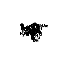 CC(=O)N[C@H](Cc1ccc2ccccc2c1)ONC(C(=O)NCC(=O)NCC(=O)N(C)[C@@H](Cc1ccc(O)cc1)C(=O)N[C@H](CC(N)=O)C(=O)N[C@@H](CC(C)C)C(=O)NCC(=O)N1CCCC1)c1ccc(Cl)cc1